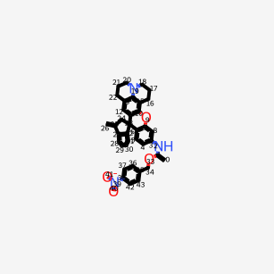 C=C(Nc1ccc2c(c1)Oc1c(cc3c4c1CCCN4CCC3)C21CC(=C)c2ccccc21)OCc1ccc([N+](=O)[O-])cc1